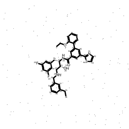 CCOc1ccccc1-c1cc(C(=O)N[C@@H](Cc2cc(F)cc(F)c2)[C@H](O)CNCc2cccc(CC)c2)cc(-c2nccs2)c1